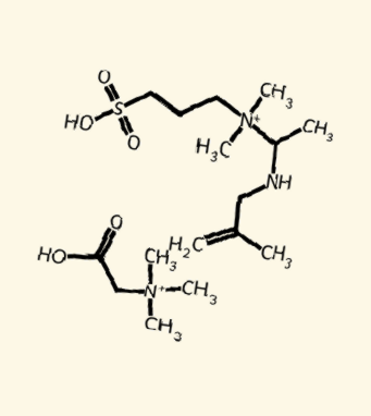 C=C(C)CNC(C)[N+](C)(C)CCCS(=O)(=O)O.C[N+](C)(C)CC(=O)O